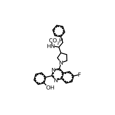 O=C(O)NC(Cc1ccccc1)C1CCN(c2nc(-c3ccccc3O)nc3ccc(F)cc23)C1